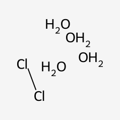 ClCl.O.O.O.O